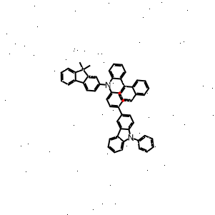 CC1(C)c2ccccc2-c2ccc(N(c3ccc(-c4ccc5c(c4)c4ccccc4n5-c4ccccc4)cc3)c3ccccc3-c3cccc4ccccc34)cc21